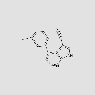 Cc1cccc(-c2ccnc3[nH]cc(C#N)c23)c1